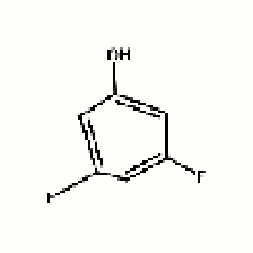 Oc1[c]c(F)cc(F)c1